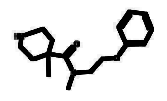 CN(CCOc1ccccc1)C(=O)C1(C)CCNCC1